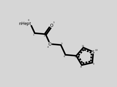 CCCCCCCCC(=O)OCCc1ccsc1